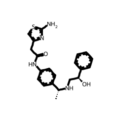 C[C@@H](NC[C@H](O)c1ccccc1)c1ccc(NC(=O)Cc2csc(N)n2)cc1